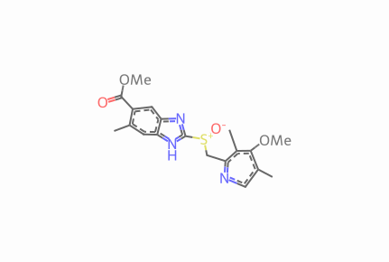 COC(=O)c1cc2nc([S+]([O-])Cc3ncc(C)c(OC)c3C)[nH]c2cc1C